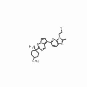 CNC1CCC(N)(c2ncc3c(-c4ccc5nc(C)n(CCF)c5n4)ccn3n2)CC1